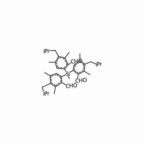 Cc1cc([Si](C)(c2cc(C)c(CC(C)C)c(C)c2C=O)c2cc(C)c(CC(C)C)c(C)c2C=O)c(C=O)c(C)c1CC(C)C